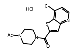 CC(=O)N1CCN(C(=O)c2cc3nccc(Cl)c3s2)CC1.Cl